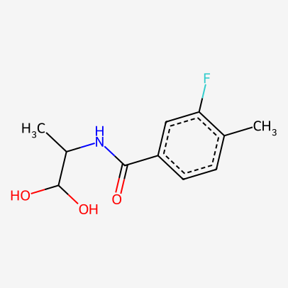 Cc1ccc(C(=O)NC(C)C(O)O)cc1F